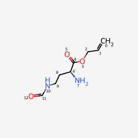 C=CCOC(=O)[C@@H](N)CCNC=O